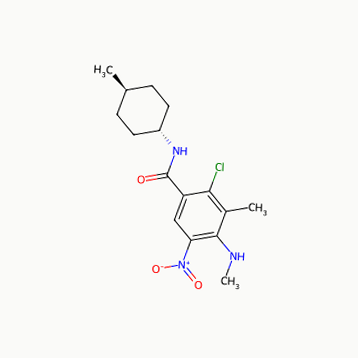 CNc1c([N+](=O)[O-])cc(C(=O)N[C@H]2CC[C@H](C)CC2)c(Cl)c1C